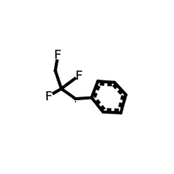 FCC(F)(F)[CH]c1ccccc1